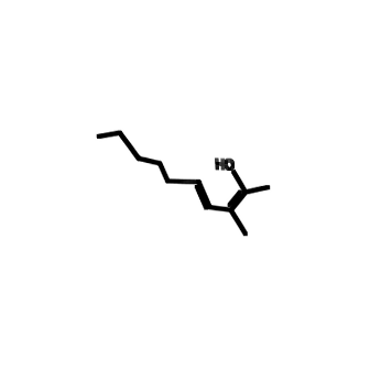 CCCCCC=CC(C)=C(C)O